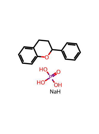 O=P(O)(O)O.[NaH].c1ccc(C2CCc3ccccc3O2)cc1